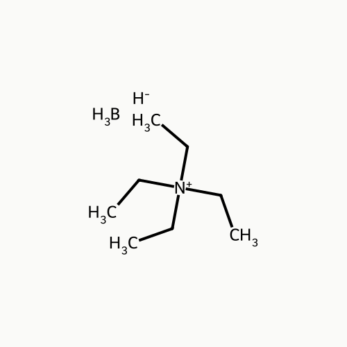 B.CC[N+](CC)(CC)CC.[H-]